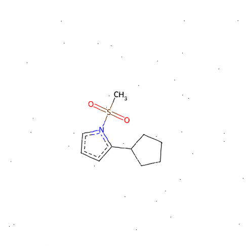 CS(=O)(=O)n1cccc1C1CCCC1